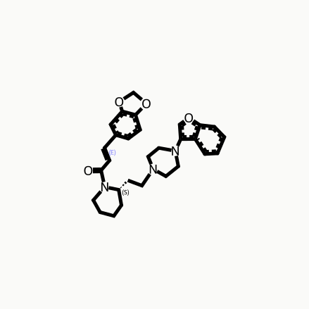 O=C(/C=C/c1ccc2c(c1)OCO2)N1CCCC[C@H]1CCN1CCN(c2coc3ccccc23)CC1